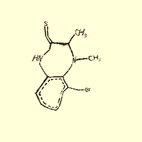 CC1C(=S)Nc2cccc(Br)c2N1C